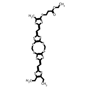 CCOC(=O)CCSC1=C(C)SC(=CC=C2SC3=C(SCSC4=C(SCS3)SC(=CC=C3SC(CC)=C(CC)S3)S4)S2)S1